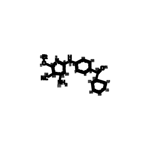 CCOc1nc(Nc2ccc(C(=O)c3ccccc3)cc2)cc(N)c1C#N